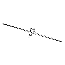 CCCCCCCCCCCCCCCCOC(CSC)C(O)CCCCCCCCCCCCCCCC